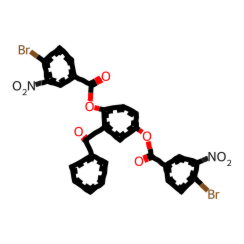 O=C(Oc1ccc(OC(=O)c2ccc(Br)c([N+](=O)[O-])c2)c(C(=O)c2ccccc2)c1)c1ccc(Br)c([N+](=O)[O-])c1